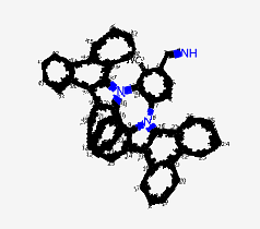 N#Cc1c(C=N)ccc(-n2c3ccccc3c3c4ccccc4c4ccccc4c32)c1-n1c2ccccc2c2c3ccccc3c3ccccc3c21